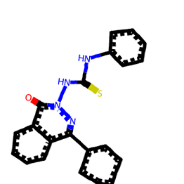 O=c1c2ccccc2c(-c2ccccc2)nn1NC(=S)Nc1ccccc1